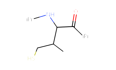 CC(C)NC(C(=O)C(C)C)C(C)CS